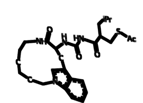 CC(=O)SCC(CC(C)C)C(=O)NC(=O)NC1Cc2cn(c3ccccc23)CCCCCCNC1=O